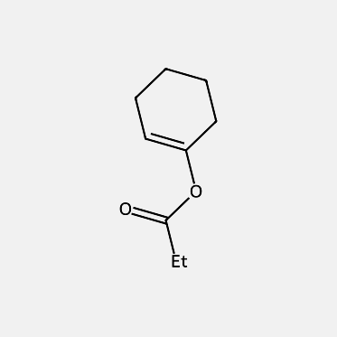 CCC(=O)OC1=CCCCC1